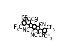 N#CC(C#N)=C1C(c2cc(C(F)(F)F)cc(C(F)(F)F)c2)=C(C#N)c2c(F)c3c(c(F)c21)C(C#N)C(c1cc(C(F)(F)F)cc(C(F)(F)F)c1)C3=C(C#N)C#N